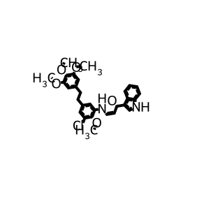 COc1cc(CCc2cc(Cl)c(OC)c(N/C=C\C(=O)c3c[nH]c4ccccc34)c2)cc(OC)c1OC